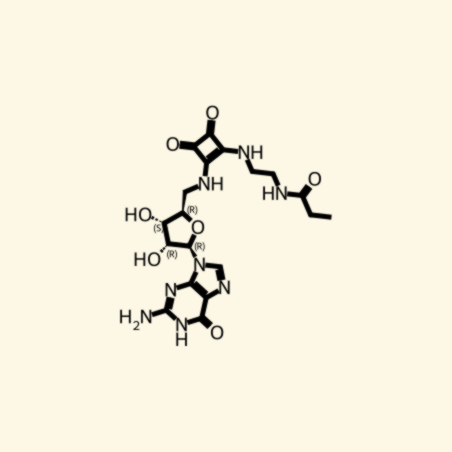 CCC(=O)NCCNc1c(NC[C@H]2O[C@@H](n3cnc4c(=O)[nH]c(N)nc43)[C@H](O)[C@@H]2O)c(=O)c1=O